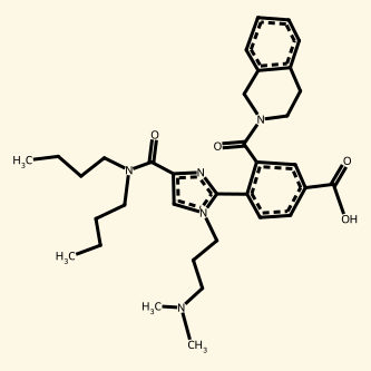 CCCCN(CCCC)C(=O)c1cn(CCCN(C)C)c(-c2ccc(C(=O)O)cc2C(=O)N2CCc3ccccc3C2)n1